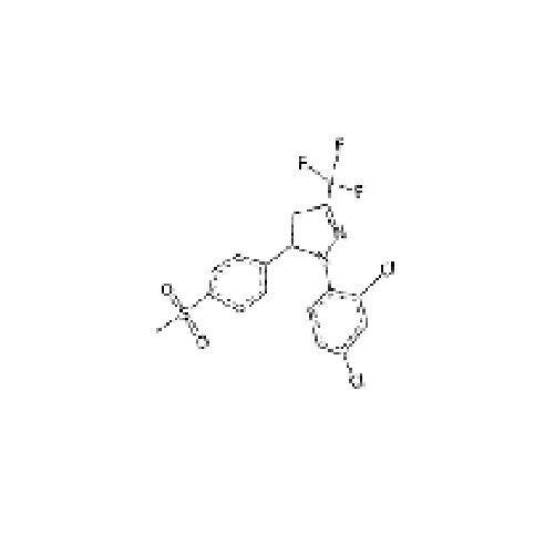 CS(=O)(=O)c1ccc(C2CC(C(F)(F)F)=NN2c2ccc(Cl)cc2Cl)cc1